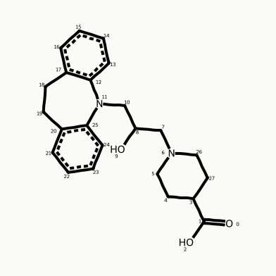 O=C(O)C1CCN(CC(O)CN2c3ccccc3CCc3ccccc32)CC1